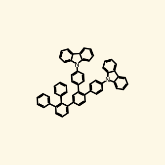 c1ccc(-c2cccc(-c3ccc(-c4ccc(-n5c6ccccc6c6ccccc65)cc4)c(-c4ccc(-n5c6ccccc6c6ccccc65)cc4)c3)c2-c2ccccc2)cc1